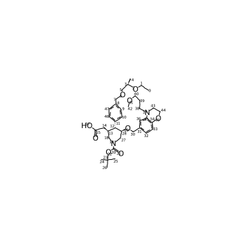 CCO[C@H](C)COCc1ccc([C@H]2[C@H](CC(=O)O)CN(C(=O)OC(C)(C)C)C[C@@H]2OCc2ccc3c(c2)N(CCCOC)CCO3)cc1